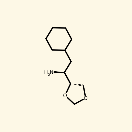 N[C@@H](CC1CCCCC1)[C@@H]1COCO1